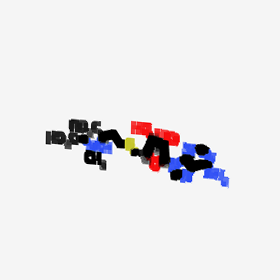 CN(CC(=O)O)N[C@@H](CCSC[C@H]1O[C@@H](n2cnc3c(N)ncnc32)[C@H](O)[C@@H]1O)C(=O)O